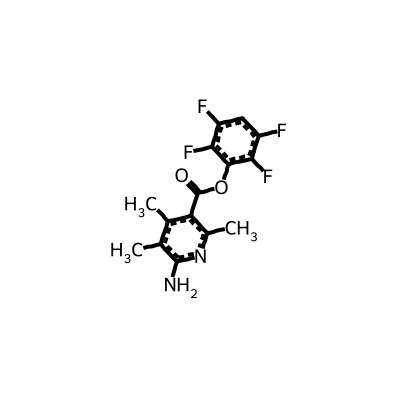 Cc1nc(N)c(C)c(C)c1C(=O)Oc1c(F)c(F)cc(F)c1F